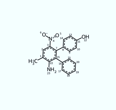 Cc1cc([N+](=O)[O-])c(-c2ccc(O)cc2)c(-c2ccccc2)c1N